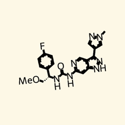 COC[C@@H](NC(=O)Nc1cc2[nH]nc(-c3cnn(C)c3)c2cn1)c1ccc(F)cc1